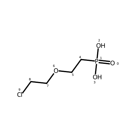 O=P(O)(O)CCOCCCl